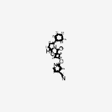 N#Cc1ccnc(OC2CC3(C2)O[C@@H]2CC[C@@H](c4ccccc4)N2C3=O)c1